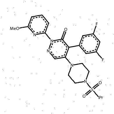 COc1cccc(-n2ncc(N3CCN(S(=O)(=O)C(C)C)CC3)c(-c3cc(F)cc(F)c3)c2=O)n1